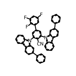 N#Cc1c(-n2c3ccccc3c3ccc(-c4ccccc4)cc32)cc(-c2cc(F)cc(F)c2F)cc1-n1c2ccccc2c2ccc(-c3ccccc3)cc21